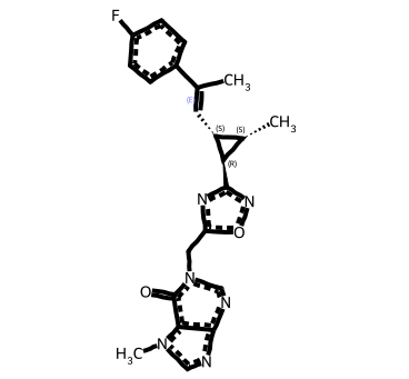 C/C(=C\[C@@H]1[C@H](C)[C@H]1c1noc(Cn2cnc3ncn(C)c3c2=O)n1)c1ccc(F)cc1